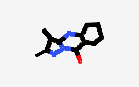 C=c1c(C)nn2c(=O)c3ccccc3nc12